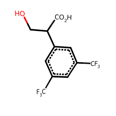 O=C(O)C(CO)c1cc(C(F)(F)F)cc(C(F)(F)F)c1